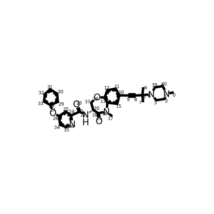 CN1CCN(C(C)(C)C#Cc2ccc3c(c2)N(C)C(=O)[C@H](NC(=O)c2cc(Oc4ccccc4)ccn2)CO3)CC1